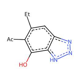 CCc1cc2nn[nH]c2c(O)c1C(C)=O